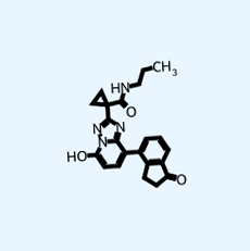 CCCNC(=O)C1(c2nc3c(-c4cccc5c4CCC5=O)ccc(O)n3n2)CC1